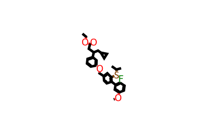 CCOC(=O)CC(CC1CC1)c1cccc(OCc2ccc(-c3cc(OC)ccc3F)c(SC(C)C)c2)c1